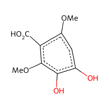 COc1cc(O)c(O)c(OC)c1C(=O)O